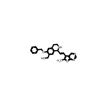 Cc1oc2ncncc2c1/C=C/C1NCCc2cc(OCc3ccccc3)c(CO)cc21